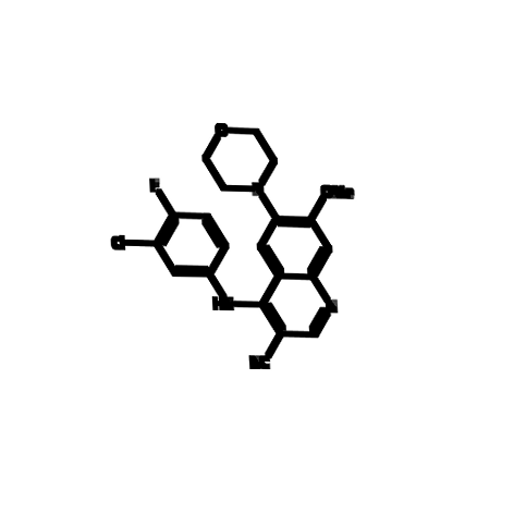 COc1cc2ncc(C#N)c(Nc3ccc(F)c(Cl)c3)c2cc1N1CCOCC1